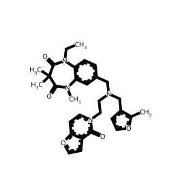 CCN1C(=O)C(C)(C)C(=O)N(C)c2cc(CN(CCn3ccc4occc4c3=O)Cc3ccoc3C)ccc21